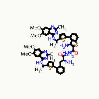 COc1cc2nc(C)nc(NC(C)c3ccc(-c4cccc5sc(C(N)=O)c(N)c45)s3)c2cc1OC.COc1cc2nc(C)nc(NC(C)c3ccc(-c4ccccc4CC(N)C(N)=O)s3)c2cc1OC